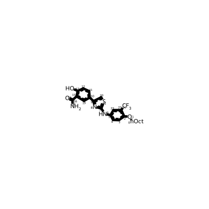 CCCCCCCCOc1ccc(Nc2nc(-c3ccc(O)c(C(N)=O)c3)cs2)cc1C(F)(F)F